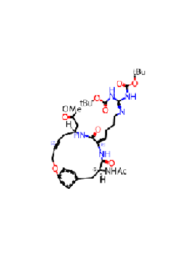 COC(=O)C[C@@H]1C/C=C\COc2ccc(cc2)C[C@H](NC(C)=O)C(=O)N/C(=C/CCCN=C(NC(=O)OC(C)(C)C)NC(=O)OC(C)(C)C)C(=O)N1